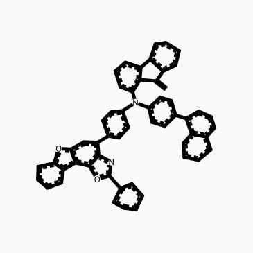 C=C1c2ccccc2-c2cccc(N(c3ccc(-c4cccc5ccccc45)cc3)c3ccc(-c4cc5oc6ccccc6c5c5oc(-c6ccccc6)nc45)cc3)c21